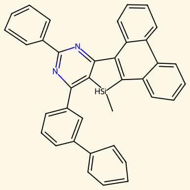 C[SiH]1c2c(-c3cccc(-c4ccccc4)c3)nc(-c3ccccc3)nc2-c2c1c1ccccc1c1ccccc21